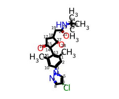 Cc1cc(-n2cc(Cl)cn2)cc(C)c1C1C(=O)CC(CC(=O)NC(C)(C)C)C1=O